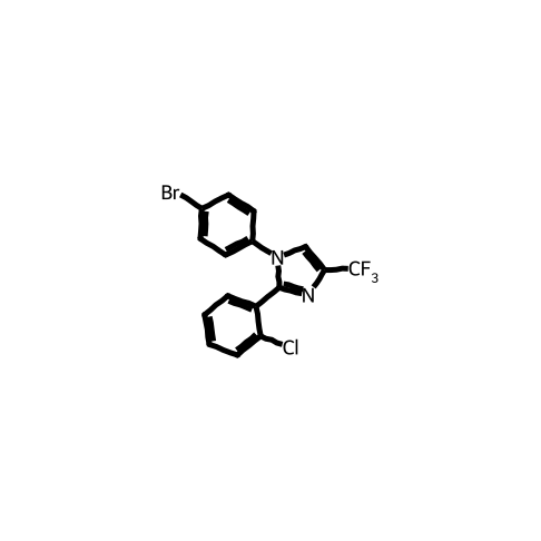 FC(F)(F)c1cn(-c2ccc(Br)cc2)c(-c2ccccc2Cl)n1